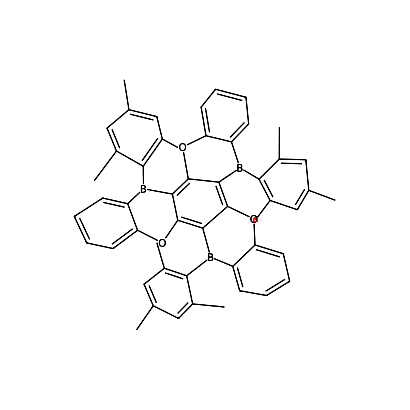 Cc1cc(C)c(B2c3ccccc3Oc3c2c2c(c4c3B(c3c(C)cc(C)cc3C)c3ccccc3O4)B(c3c(C)cc(C)cc3C)c3ccccc3O2)c(C)c1